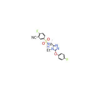 CCn1c(Oc2ccc(F)cc2)nnc1[C@@H](C)NS(=O)(=O)c1ccc(F)c(C#N)c1